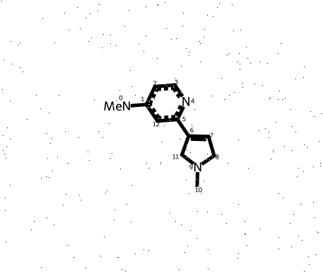 CNc1ccnc(C2=CCN(C)C2)c1